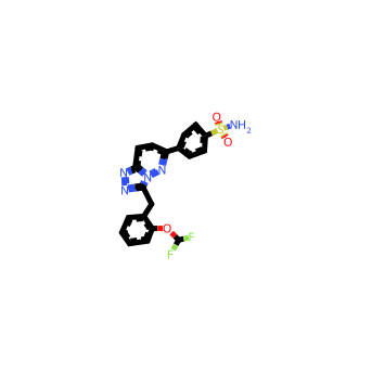 NS(=O)(=O)c1ccc(-c2ccc3nnc(Cc4ccccc4OC(F)F)n3n2)cc1